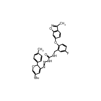 Cc1ccc(C2OC=C(C(C)(C)C)C=C2N=NNC(=O)NCc2cc(F)ccc2Oc2ccc3c(C)noc3c2)cc1